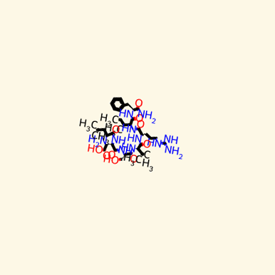 CC[C@H](C)[C@H](NC(=O)[C@H](CCCNC(=N)N)NC(=O)[C@@H](NC(=O)[C@H](CO)NC(=O)[C@H](CC(=O)O)NC(=O)[C@@H](N)CC(C)C)C(C)C)C(=O)N[C@@H](Cc1ccccc1)C(N)=O